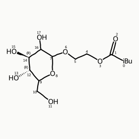 CCC(C)C(=O)OCCOC1OC(CO)[C@H](O)[C@@H](O)C1O